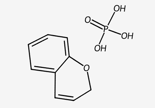 C1=Cc2ccccc2OC1.O=P(O)(O)O